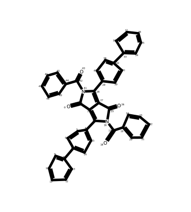 O=C1C2=C(c3ccc(-c4ccccc4)cc3)N(C(=O)c3ccccc3)C(=O)C2=C(c2ccc(-c3ccccc3)cc2)N1C(=O)c1ccccc1